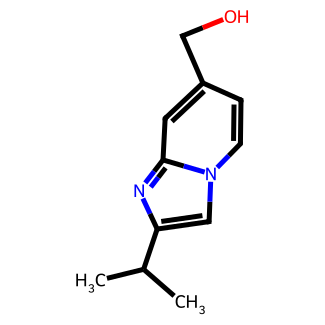 CC(C)c1cn2ccc(CO)cc2n1